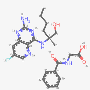 CCCC[C@](C)(CO)Nc1nc(N)nc2cc(F)cnc12.O=C(O)CNC(=O)c1ccccc1